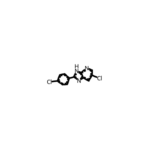 Clc1ccc(-c2nc3cc(Cl)cnc3[nH]2)cc1